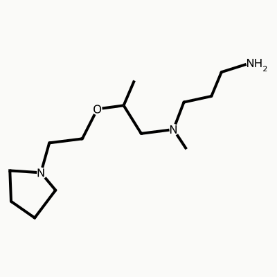 CC(CN(C)CCCN)OCCN1CCCC1